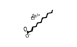 CCCCCCCCC=CC(=O)[O-].[Cl-].[Zn+2]